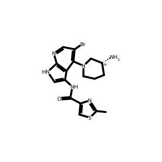 Cc1nc(C(=O)Nc2c[nH]c3ncc(Br)c(N4CCC[C@@H](N)C4)c23)cs1